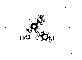 CNC1CCC(C(=O)NCc2cc(-c3cncnc3)ccc2OC)CC1.Cl.Cl